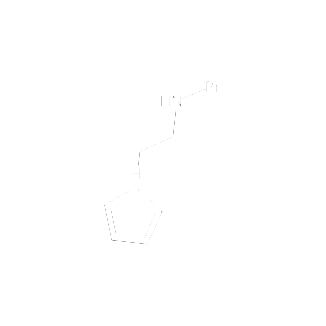 BrNCC[SH]1C=CC=C1